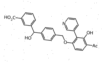 CC(=O)c1ccc(OCc2ccc(C(O)c3cccc(C(=O)O)c3)cc2)c(-c2cccnc2)c1O